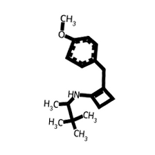 COc1ccc(CC2=C(NC(C)C(C)(C)C)CC2)cc1